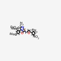 CCOC(=O)C1=C(C)N=c2s/c(=C\c3ccc(-c4cc([N+](=O)[O-])ccc4C)o3)c(=O)n2C1c1ccc(OC)cc1OC